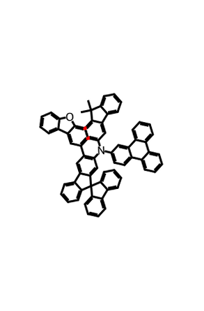 CC1(C)c2ccccc2-c2cc(N(c3ccc4c5ccccc5c5ccccc5c4c3)c3cc4c(cc3-c3ccc5oc6ccccc6c5c3)-c3ccccc3C43c4ccccc4-c4ccccc43)ccc21